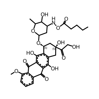 CCCCC(=O)ONC1CC(O[C@H]2C[C@](O)(C(=O)CO)Cc3c(O)c4c(c(O)c32)C(=O)c2c(OC)cccc2C4=O)OC(C)C1O